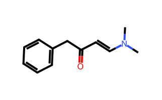 CN(C)C=CC(=O)Cc1ccccc1